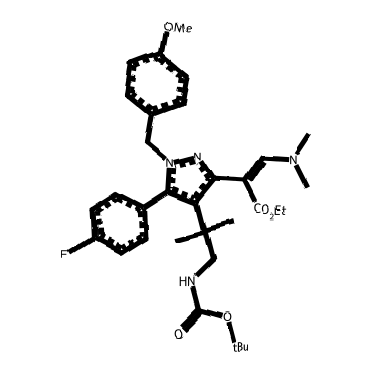 CCOC(=O)C(=CN(C)C)c1nn(Cc2ccc(OC)cc2)c(-c2ccc(F)cc2)c1C(C)(C)CNC(=O)OC(C)(C)C